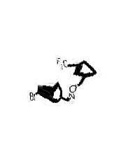 FC(F)(F)c1cccc(CO/N=[C]\c2cccc(Br)c2)c1